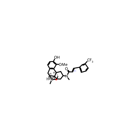 COc1c(O)ccc2c1[C@]13CCN(C)[C@H](C2)[C@]1(O)CCC(N(C)C(=O)/C=C/c1cccc(C(F)(F)F)c1)C3